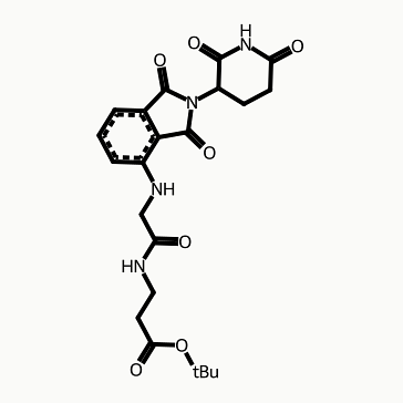 CC(C)(C)OC(=O)CCNC(=O)CNc1cccc2c1C(=O)N(C1CCC(=O)NC1=O)C2=O